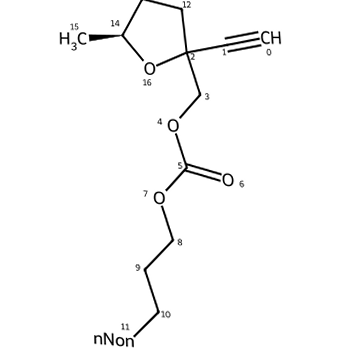 C#CC1(COC(=O)OCCCCCCCCCCCC)CC[C@H](C)O1